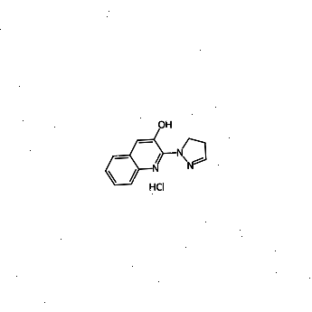 Cl.Oc1cc2ccccc2nc1N1CCC=N1